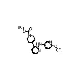 CC(C)(C)OC(=O)N1CC=C(c2cccnc2Nc2ccc(OC(F)(F)F)nc2)CC1